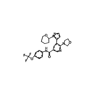 O=C(Nc1ccc(OC(F)(F)F)cc1)c1cnc(N2CCOC2)c(-c2ccnn2C2CCCCO2)c1